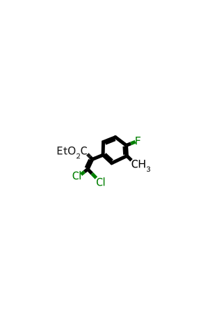 CCOC(=O)C(=C(Cl)Cl)c1ccc(F)c(C)c1